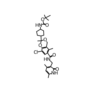 Cc1cc(C)c(CNC(=O)c2cc(Cl)c3c(c2C)COC(C)(C2CCC(NC(=O)OC(C)(C)C)CC2)O3)c(=O)[nH]1